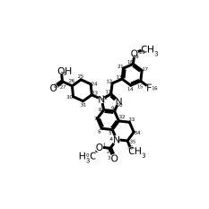 COC(=O)N1c2ccc3c(nc(Cc4cc(F)cc(OC)c4)n3C3CCC(C(=O)O)CC3)c2CCC1C